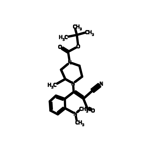 CC1CN(C(=O)OC(C)(C)C)CCN1/C(=C(\C#N)C=O)c1ccccc1N(C)C